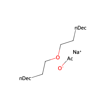 CC(=O)[O-].CCCCCCCCCCCCOCCCCCCCCCCCC.[Na+]